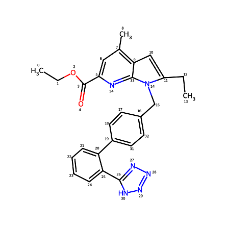 CCOC(=O)c1cc(C)c2cc(CC)n(Cc3ccc(-c4ccccc4-c4nnn[nH]4)cc3)c2n1